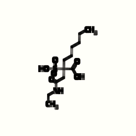 CCCCCCC(CC(=O)NCC)(C(=O)O)S(=O)(=O)O